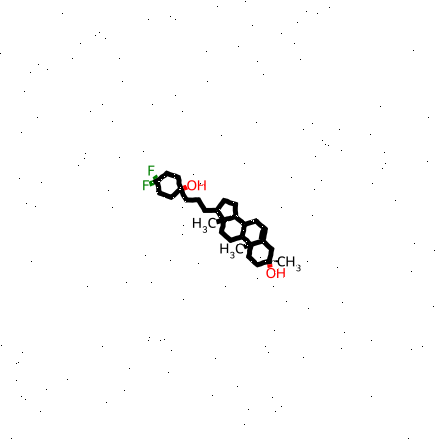 CC12CC[C@](C)(O)CC1=CCC1C2CCC2(C)C(CCCC3(O)CCC(F)(F)CC3)CCC12